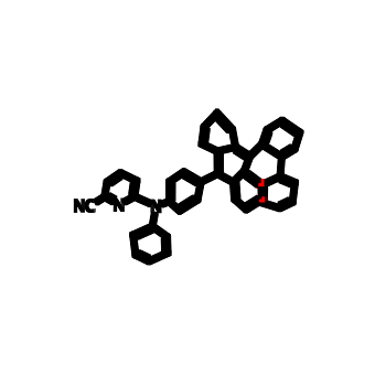 N#Cc1cccc(N(c2ccccc2)c2ccc(-c3c4ccccc4c(-c4ccccc4-c4ccccc4)c4ccccc34)cc2)n1